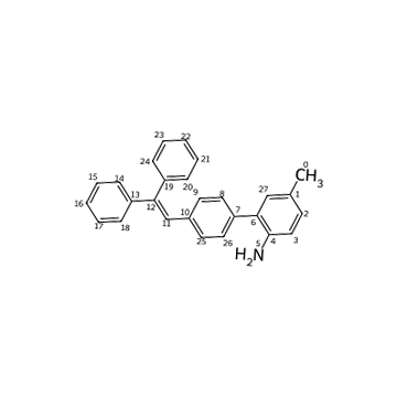 Cc1ccc(N)c(-c2ccc(C=C(c3ccccc3)c3ccccc3)cc2)c1